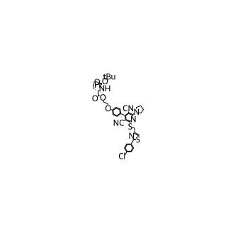 CC(C)C[C@H](NC(=O)OC(C)(C)C)C(=O)OCCOc1ccc(-c2c(C#N)c(SCc3csc(-c4ccc(Cl)cc4)n3)nc(N3CCCC3)c2C#N)cc1